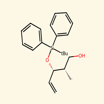 [CH2][C@@H](CO)[C@H](C=C)O[Si](c1ccccc1)(c1ccccc1)C(C)(C)C